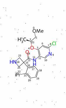 COC[C@H](C)Oc1cc(Cl)ncc1NC(=O)C1(c2ccccc2C(C)C)CNC1